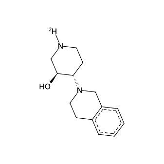 [2H]N1CC[C@H](N2CCc3ccccc3C2)[C@@H](O)C1